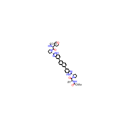 COC(=O)N[C@H](C(=O)N1CCC[C@H]1c1nc2cc(-c3ccc4cc(-c5ccc6[nH]c([C@@H]7CCCN7C(=O)[C@@H](NC(=O)O)C7CCOCC7)nc6c5)ccc4c3)ccc2[nH]1)C(C)C